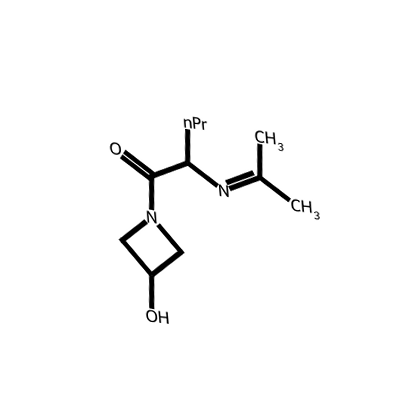 CCCC(N=C(C)C)C(=O)N1CC(O)C1